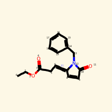 CCOC(=O)C/C=C1\C=CC(=O)N1Cc1ccccc1